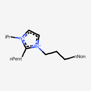 CCCCCCCCCCCC[n+]1ccn(C(C)C)c1CCCCC